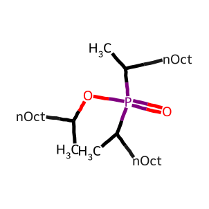 CCCCCCCCC(C)OP(=O)(C(C)CCCCCCCC)C(C)CCCCCCCC